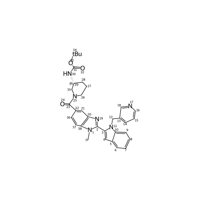 Cn1c(-c2cc3ccccc3n2Cc2cccnc2)nc2cc(C(=O)N3CCC[C@@H](NC(=O)OC(C)(C)C)C3)ccc21